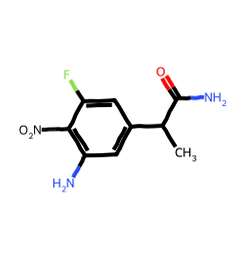 CC(C(N)=O)c1cc(N)c([N+](=O)[O-])c(F)c1